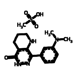 CN(C)c1cccc(-c2n[nH]c(=O)c3c2NCCC3)c1.CS(=O)(=O)O